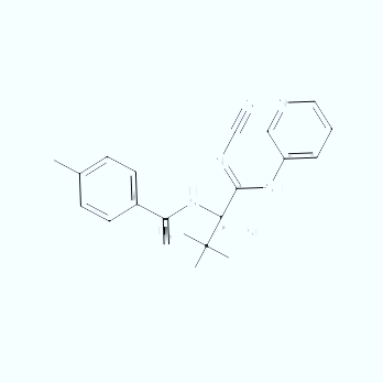 CC(C)(C)[C@@](N)(NC(=O)c1ccc(I)cc1)C(=NC#N)Nc1cccnc1